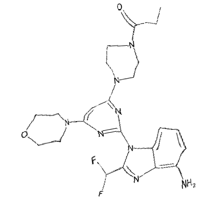 CCC(=O)N1CCN(c2cc(N3CCOCC3)nc(-n3c(C(F)F)nc4c(N)cccc43)n2)CC1